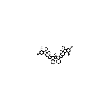 O=C1C(=O)c2c(F)cc(F)cc2/C1=C/c1cc2c(s1)-c1sc3c(c1C21CCCCC1)C1(CCCCC1)c1cc(/C=C2\C(=O)C(=O)c4cc(F)cc(F)c42)sc1-3